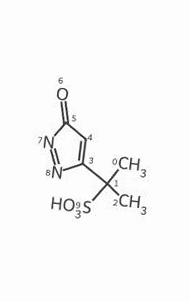 CC(C)(C1=CC(=O)N=N1)S(=O)(=O)O